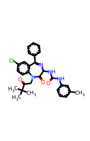 Cc1cccc(NC(=O)NC2N=C(c3ccccc3)c3cc(Cl)ccc3N(CC(=O)C(C)(C)C)C2=O)c1